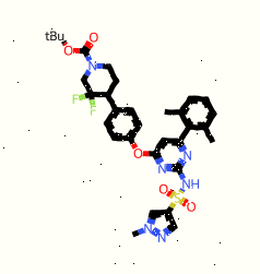 Cc1cccc(C)c1-c1cc(Oc2ccc(C3CCN(C(=O)OC(C)(C)C)CC3(F)F)cc2)nc(NS(=O)(=O)c2cnn(C)c2)n1